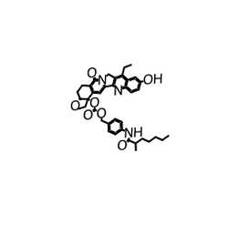 CCCCCC(C)C(=O)Nc1ccc(COC(=O)OC2(CC)C(=O)CCc3c2cc2n(c3=O)Cc3c-2nc2ccc(O)cc2c3CC)cc1